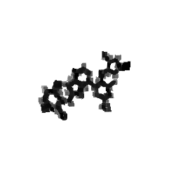 Cc1cc(Cl)cc(-c2ccnc3cc(Cn4c(=O)cc[nH]c4=O)sc23)c1O[C@@H]1CNC[C@@H]1F